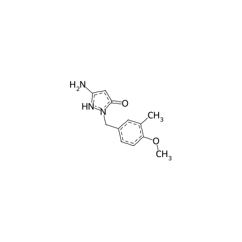 COc1ccc(Cn2[nH]c(N)cc2=O)cc1C